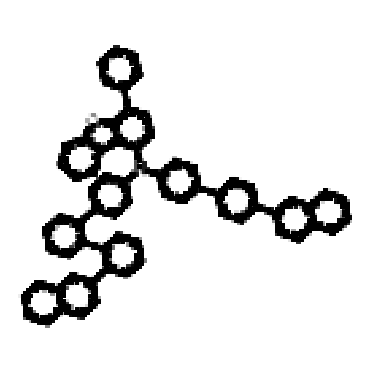 c1ccc(-c2ccc(N(c3ccc(-c4ccc(-c5ccc6ccccc6c5)cc4)cc3)c3ccc(-c4ccccc4-c4ccccc4-c4ccc5ccccc5c4)cc3)c3c2oc2ccccc23)cc1